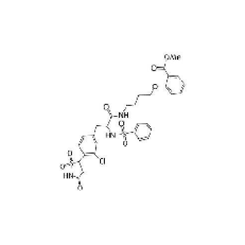 COC(=O)c1ccccc1OCCCCNC(=O)C(Cc1ccc(C2CC(=O)NS2(=O)=O)c(Cl)c1)NS(=O)(=O)c1ccccc1